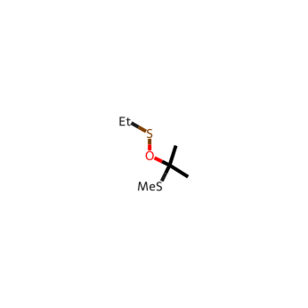 CCSOC(C)(C)SC